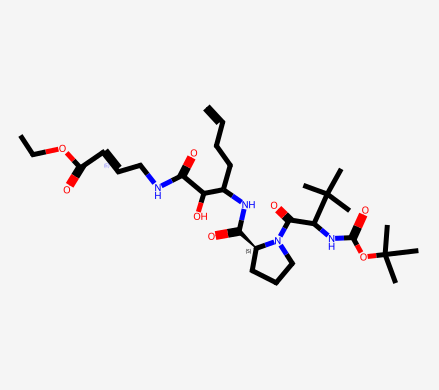 C=CCCC(NC(=O)[C@@H]1CCCN1C(=O)C(NC(=O)OC(C)(C)C)C(C)(C)C)C(O)C(=O)NC/C=C/C(=O)OCC